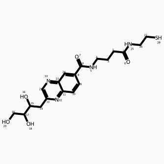 O=C(CCCNC(=O)c1ccc2nc(CC(O)C(O)CO)cnc2c1)NCCS